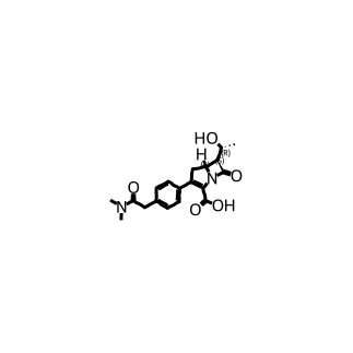 C[C@@H](O)[C@H]1C(=O)N2C(C(=O)O)=C(c3ccc(CC(=O)N(C)C)cc3)C[C@H]12